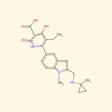 CCc1c(-c2ccc3c(c2)cc(CNC2(C)CC2)n3C)[nH]c(=O)c(C(=O)O)c1O